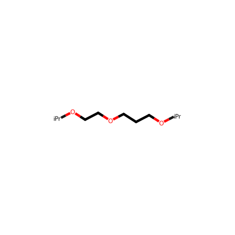 CC(C)OCCCOCCOC(C)C